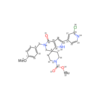 COc1ccc(CN2CC3(CCN(C(=O)OC(C)(C)C)CC3)c3[nH]c(-c4ccnc(Cl)c4)cc3C2=O)cc1